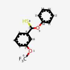 FC(F)(F)Oc1cccc(C(S)Oc2cc[c]cc2)c1